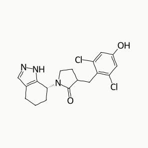 O=C1C(Cc2c(Cl)cc(O)cc2Cl)CCN1[C@@H]1CCCc2cn[nH]c21